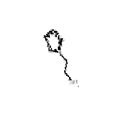 NCCn1cccc1